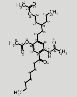 CCCCCCCC(=O)c1cc(OC(C)=O)c(CCC(CCC)CCOC(C)=O)cc1NC(C)=O